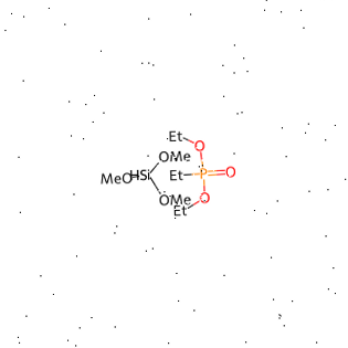 CCOP(=O)(CC)OCC.CO[SiH](OC)OC